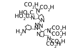 Nc1cccc(Cn2nc(-c3nccc(CN(CC(=O)O)CC(=O)O)c3CN(CC(=O)O)CC(=O)O)nc2-c2nccc(CN(CC(=O)O)CC(=O)O)c2CN(CC(=O)O)CC(=O)O)c1